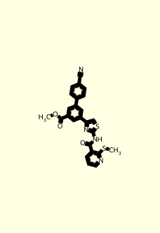 COC(=O)c1cc(-c2ccc(C#N)cc2)cc(-c2csc(NC(=O)c3cccnc3SC)n2)c1